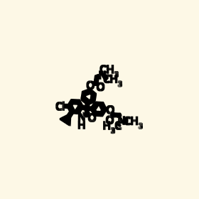 CN(C)CC(=O)Oc1ccc(C2(c3ccc(OC(=O)CN(C)C)cc3)C(=O)Nc3c2ccc(Cl)c3C2CC2)cc1